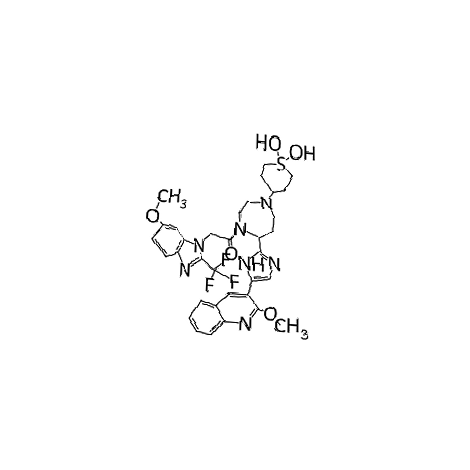 COc1ccc2nc(C(F)(F)F)n(CC(=O)N3CCN(C4CCS(O)(O)CC4)CCC3c3ncc(-c4cc5ccccc5nc4OC)[nH]3)c2c1